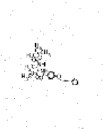 C=C(NC(=O)OC(C)(C)C)[C@H](NC(=O)c1ccc(OCC#CC2=CCCC2)cc1)C(=O)OC